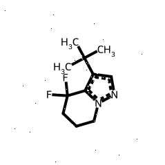 CC(C)(C)c1cnn2c1C(F)(F)CCC2